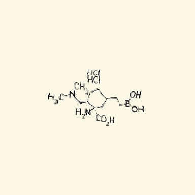 CN(C)C[C@H]1CC[C@@H](CCB(O)O)C[C@]1(N)C(=O)O.Cl.Cl